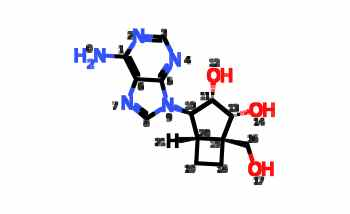 Nc1ncnc2c1ncn2[C@H]1[C@H](O)[C@H](O)[C@]2(CO)CC[C@H]12